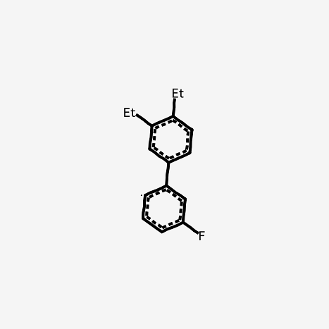 CCc1ccc(-c2[c]ccc(F)c2)cc1CC